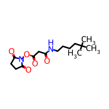 CC(C)(C)CCCCNC(=O)CC(=O)ON1C(=O)CCC1=O